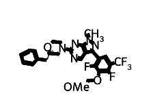 COCOc1c(F)c(-c2nn(C)c3nc(N4CCO[C@@H](Cc5ccccc5)C4)ncc23)cc(C(F)(F)F)c1F